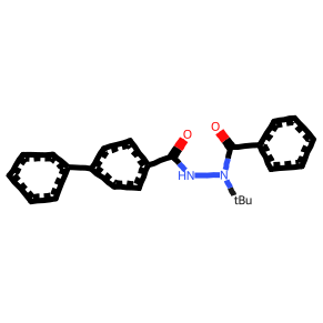 CC(C)(C)N(NC(=O)c1ccc(-c2ccccc2)cc1)C(=O)c1ccccc1